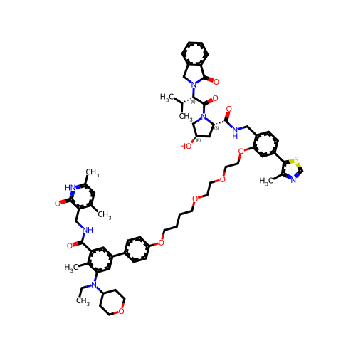 CCN(c1cc(-c2ccc(OCCCCOCCOCCOc3cc(-c4scnc4C)ccc3CNC(=O)[C@@H]3C[C@@H](O)CN3C(=O)[C@H](C(C)C)N3Cc4ccccc4C3=O)cc2)cc(C(=O)NCc2c(C)cc(C)[nH]c2=O)c1C)C1CCOCC1